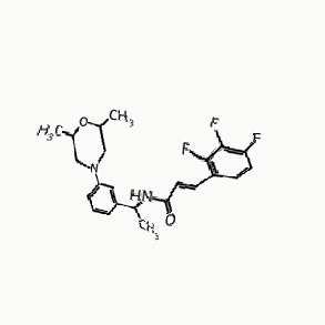 CC1CN(c2cccc(C(C)NC(=O)C=Cc3ccc(F)c(F)c3F)c2)CC(C)O1